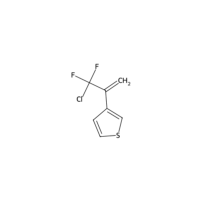 C=C(c1ccsc1)C(F)(F)Cl